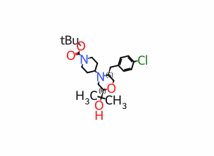 CC(C)(C)OC(=O)N1CCC(N2C[C@H](C(C)(C)O)OC[C@@H]2Cc2ccc(Cl)cc2)CC1